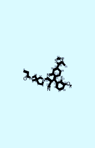 C=CC(=O)N1CC2(CCN(c3nc4c(c(-c5cccc(OC)c5F)c3C#N)CCC(c3scnc3C)=C4)C2)C1